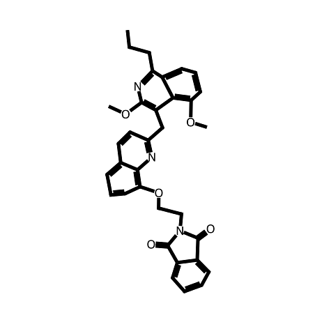 CCCc1nc(OC)c(Cc2ccc3cccc(OCCN4C(=O)c5ccccc5C4=O)c3n2)c2c(OC)cccc12